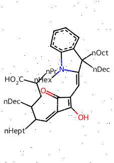 CCCCCCCCCC[C](CC(CCC)C(=O)O)C(C=C1C(=O)C(C=C2N(CCCCCC)c3ccccc3C2(CCCCCCCC)CCCCCCCCCC)=C1O)CCCCCCC